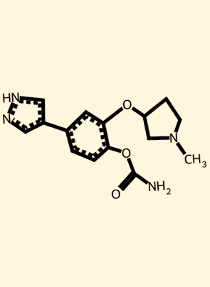 CN1CCC(Oc2cc(-c3cn[nH]c3)ccc2OC(N)=O)C1